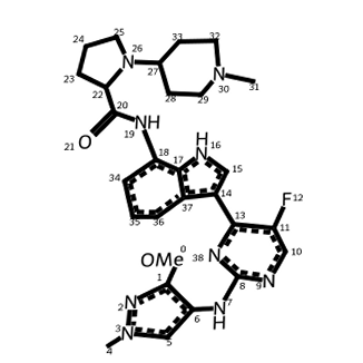 COc1nn(C)cc1Nc1ncc(F)c(-c2c[nH]c3c(NC(=O)C4CCCN4C4CCN(C)CC4)cccc23)n1